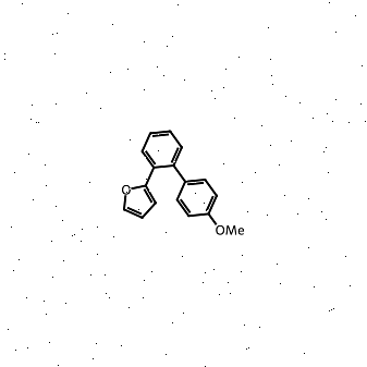 COc1ccc(-c2ccccc2-c2ccco2)cc1